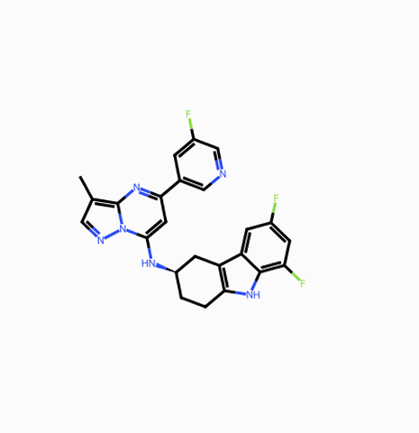 Cc1cnn2c(N[C@@H]3CCc4[nH]c5c(F)cc(F)cc5c4C3)cc(-c3cncc(F)c3)nc12